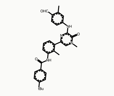 Cc1cc(Nc2nc(-c3cccc(NC(=O)c4ccc(C(C)(C)C)cc4)c3C)cn(C)c2=O)ccc1C=O